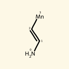 NC=[CH][Mn]